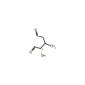 CC(C[C]=O)[C@H](O)[C]=O